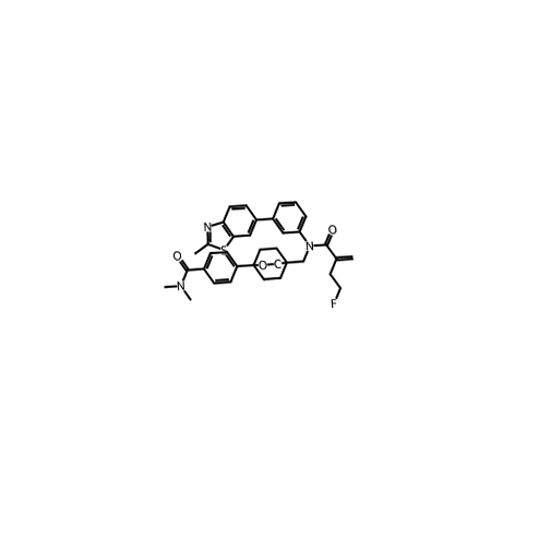 C=C(CCF)C(=O)N(CC12CCC(c3ccc(C(=O)N(C)C)cc3)(CC1)OC2)c1cccc(-c2ccc3nc(C)sc3c2)c1